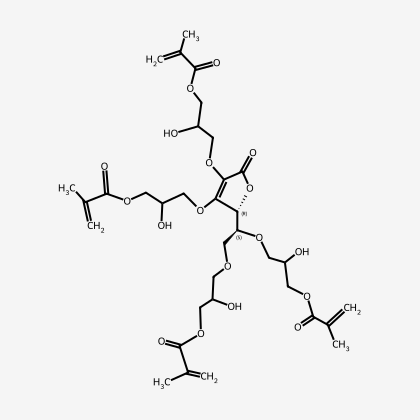 C=C(C)C(=O)OCC(O)COC[C@H](OCC(O)COC(=O)C(=C)C)[C@H]1OC(=O)C(OCC(O)COC(=O)C(=C)C)=C1OCC(O)COC(=O)C(=C)C